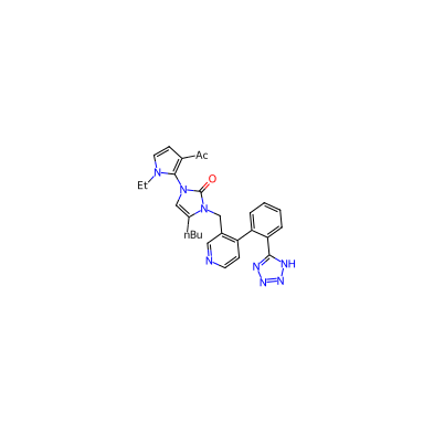 CCCCc1cn(-c2c(C(C)=O)ccn2CC)c(=O)n1Cc1cnccc1-c1ccccc1-c1nnn[nH]1